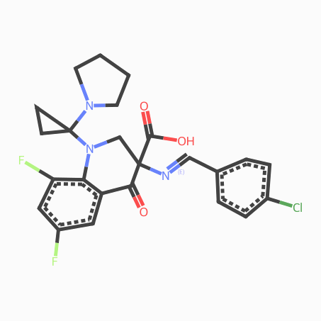 O=C(O)C1(/N=C/c2ccc(Cl)cc2)CN(C2(N3CCCC3)CC2)c2c(F)cc(F)cc2C1=O